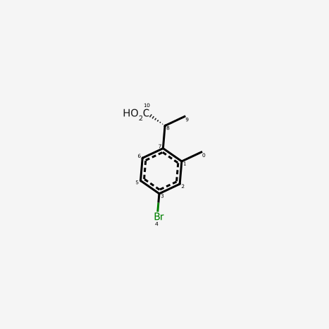 Cc1cc(Br)ccc1[C@@H](C)C(=O)O